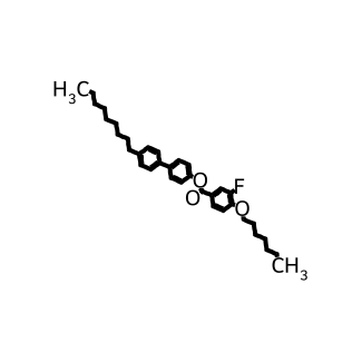 CCCCCCCCCc1ccc(-c2ccc(OC(=O)c3ccc(OCCCCCCC)c(F)c3)cc2)cc1